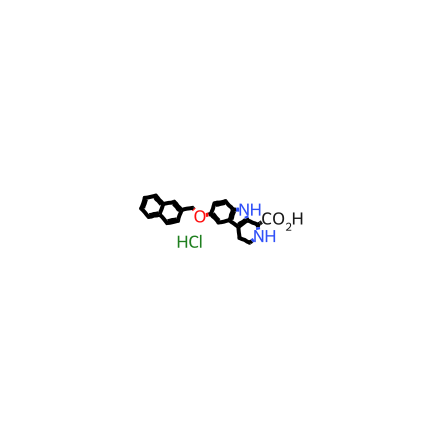 Cl.O=C(O)C1NCCc2c1[nH]c1ccc(OCc3ccc4ccccc4c3)cc21